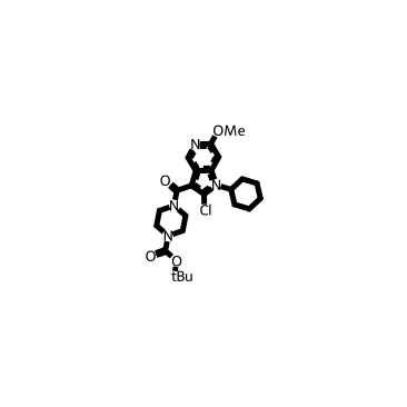 COc1cc2c(cn1)c(C(=O)N1CCN(C(=O)OC(C)(C)C)CC1)c(Cl)n2C1CCCCC1